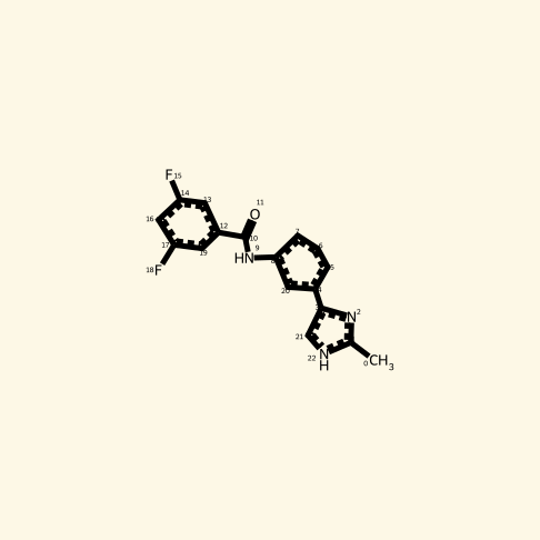 Cc1nc(-c2cccc(NC(=O)c3cc(F)cc(F)c3)c2)c[nH]1